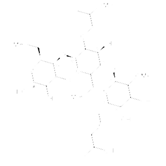 COCC1O[C@@H](O[C@H]2C(O)C(O)[C@H](O)O[C@H]2COC)C(OCC(C)OC)[C@@H](O)[C@@H]1O[C@@H]1O[C@@H](COCC(C)O)[C@@H](O)C(O)C1OC